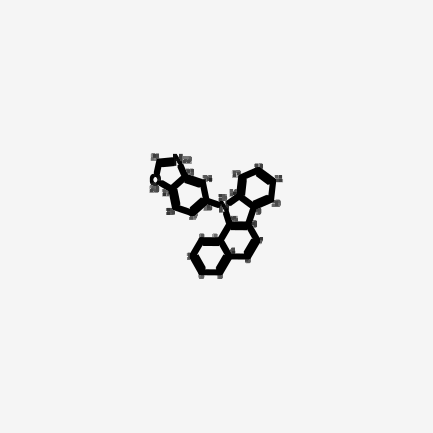 c1ccc2c(c1)ccc1c3ccccc3n(-c3ccc4ocnc4c3)c21